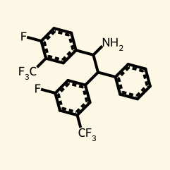 NC(c1ccc(F)c(C(F)(F)F)c1)C(c1ccccc1)c1cc(F)cc(C(F)(F)F)c1